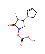 CC(C)OC(=O)ON1CC(C2C=CCC2)C(C)C1=O